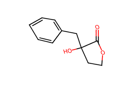 O=C1OCCC1(O)Cc1ccccc1